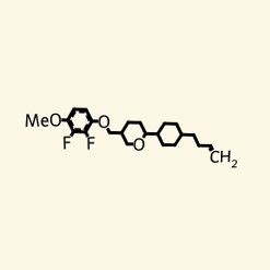 C=CCCC1CCC(C2CCC(COc3ccc(OC)c(F)c3F)CO2)CC1